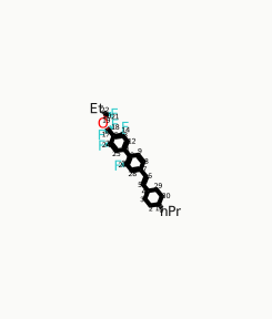 CCCC1CCC(/C=C/c2ccc(-c3cc(F)c(C(F)(F)OC(F)CC)c(F)c3)c(F)c2)CC1